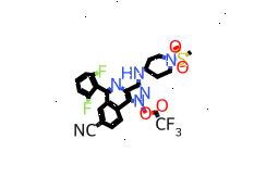 CS(=O)(=O)N1CCC(Nc2nn(OC(=O)C(F)(F)F)c3c2nc(-c2c(F)cccc2F)c2cc(C#N)ccc23)CC1